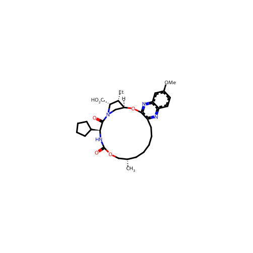 CC[C@@H]1[C@@H]2CN(C(=O)[C@H](C3CCCC3)NC(=O)OC[C@@H](C)CCCCCc3nc4ccc(OC)cc4nc3O2)[C@@H]1C(=O)O